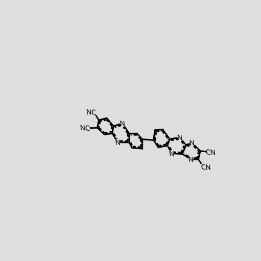 N#Cc1cc2nc3ccc(-c4ccc5nc6nc(C#N)c(C#N)nc6nc5c4)cc3nc2cc1C#N